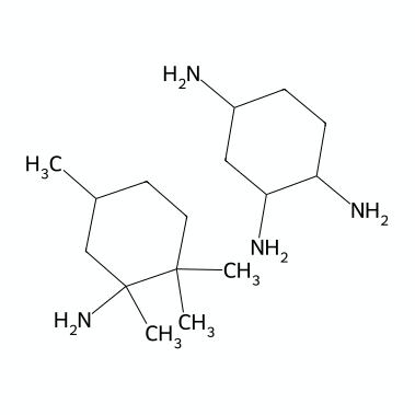 CC1CCC(C)(C)C(C)(N)C1.NC1CCC(N)C(N)C1